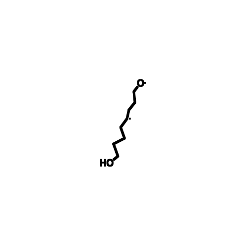 [O]CCC[CH]CCCCO